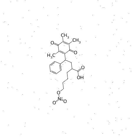 CC1=C(C)C(=O)C(C(CC(CCCCO[N+](=O)[O-])C(=O)O)c2ccccc2)=C(C)C1=O